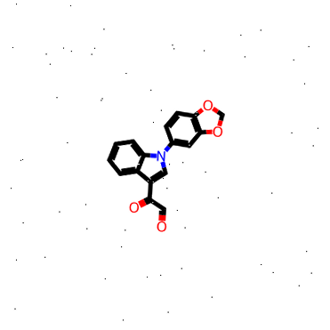 O=CC(=O)c1cn(-c2ccc3c(c2)OCO3)c2ccccc12